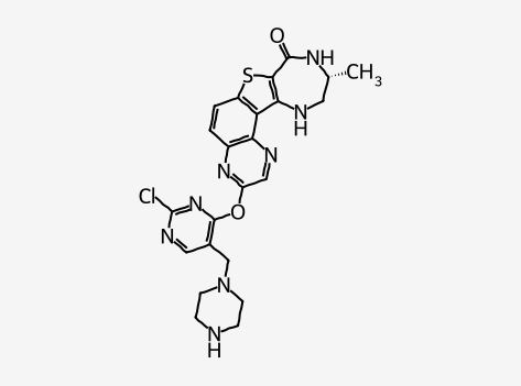 C[C@@H]1CNc2c(sc3ccc4nc(Oc5nc(Cl)ncc5CN5CCNCC5)cnc4c23)C(=O)N1